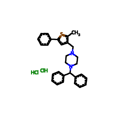 Cc1sc(-c2ccccc2)cc1CN1CCN(C(c2ccccc2)c2ccccc2)CC1.Cl.Cl